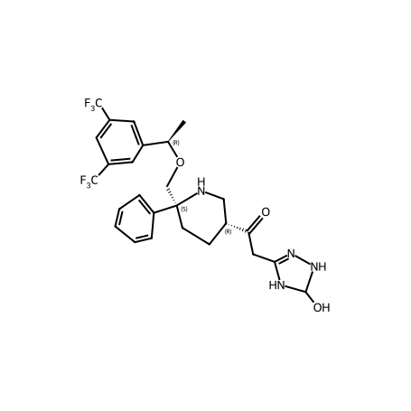 C[C@@H](OC[C@@]1(c2ccccc2)CC[C@@H](C(=O)CC2=NNC(O)N2)CN1)c1cc(C(F)(F)F)cc(C(F)(F)F)c1